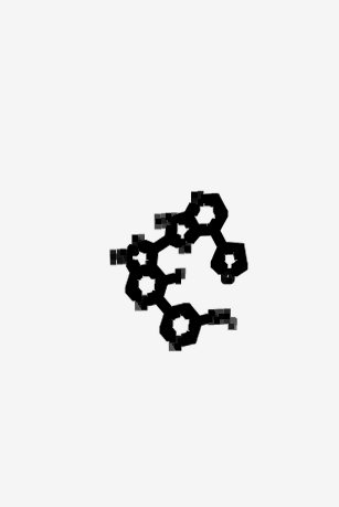 Nc1cncc(-c2ncc3[nH]nc(-c4nc5c(-c6ccoc6)ccnc5[nH]4)c3c2F)c1